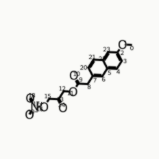 COc1ccc2cc(CC(=O)OCC(=O)CO[N+](=O)[O-])ccc2c1